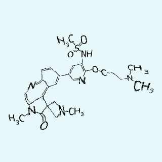 CN(C)CCCOc1ncc(-c2ccc3ncc4c(c3c2)C2(CN(C)C2)C(=O)N4C)cc1NS(C)(=O)=O